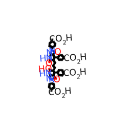 O=C(O)c1ccc(-c2c(C=CC=c3c(-c4ccc(C(=O)O)cc4)c4c([nH]c3=O)=NN(c3ccc(C(=O)O)cc3)C4=O)c(O)[nH]c3nn(-c4ccc(C(=O)O)cc4)c(=O)c2-3)cc1